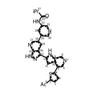 CC(=O)c1ccc(-c2cncc3[nH]c(-c4n[nH]c5ncc(-c6cncc(NC(=O)C(C)C)c6)cc45)cc23)s1